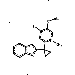 CCCCOc1cc(C)c(C2(c3cc4ccccc4s3)CC2)cc1Br